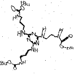 CC(C)(C)OC(=O)NCCCNc1nc(NCCCNC(=O)OC(C)(C)C)nc(NCCCNC(=O)OC(C)(C)C)n1